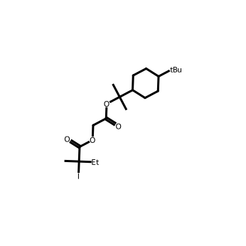 CCC(C)(I)C(=O)OCC(=O)OC(C)(C)C1CCC(C(C)(C)C)CC1